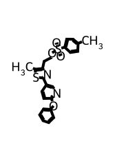 Cc1ccc(S(=O)(=O)OCCc2nc(-c3ccc(Oc4ccccc4)nc3)sc2C)cc1